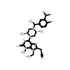 CCn1c(CC#N)nc2c(N3C[C@@H](C)N(C(C)c4ccc(F)c(C(F)F)c4)C[C@@H]3C)nc(=O)n(C)c21